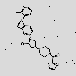 Cc1ncccc1-n1ccc2cc(N3CC(N4CCN(C(=O)c5nccs5)CC4)CC3=O)ccc21